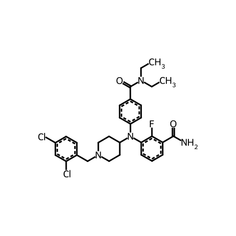 CCN(CC)C(=O)c1ccc(N(c2cccc(C(N)=O)c2F)C2CCN(Cc3ccc(Cl)cc3Cl)CC2)cc1